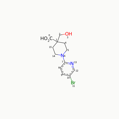 O=C(O)C1(CO)CCN(c2ccc(Br)cn2)CC1